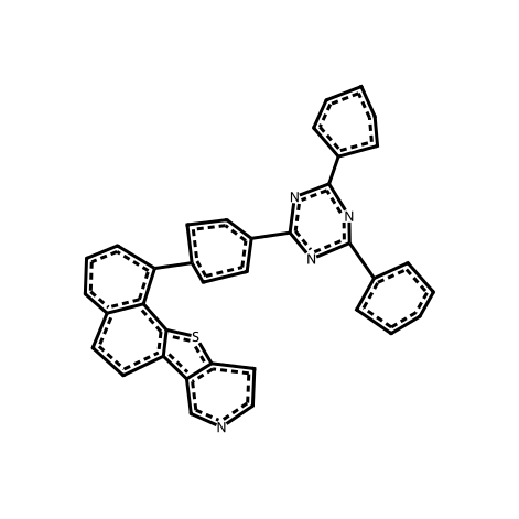 c1ccc(-c2nc(-c3ccccc3)nc(-c3ccc(-c4cccc5ccc6c7cnccc7sc6c45)cc3)n2)cc1